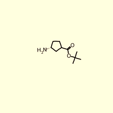 CC(C)(C)OC(=O)C1CC[C@@H](N)C1